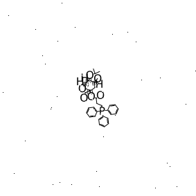 CC1(C)O[C@H]2[C@H]3C[C@@](OC(=O)CC=P(c4ccccc4)(c4ccccc4)c4ccccc4)(C[C@H]2O1)C(=O)O3